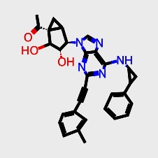 CC(=O)[C@]12CC1[C@@H](n1cnc3c(N[C@@H]4CC4c4ccccc4)nc(C#Cc4cccc(C)c4)nc31)[C@H](O)C2O